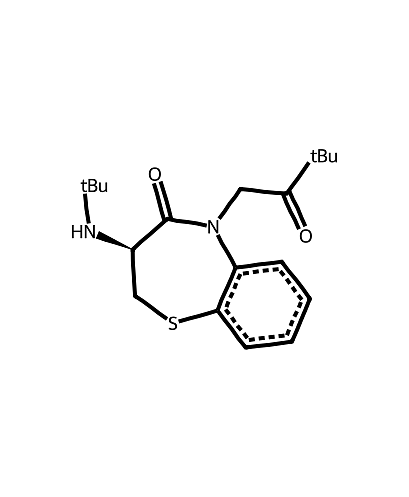 CC(C)(C)N[C@@H]1CSc2ccccc2N(CC(=O)C(C)(C)C)C1=O